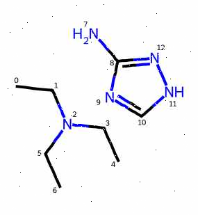 CCN(CC)CC.Nc1nc[nH]n1